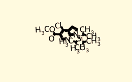 COC(=O)c1cnc2c(ccn2[Si](C(C)C)(C(C)C)C(C)C)c1Cl